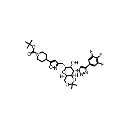 CC(C)(C)OC(=O)N1CCC(c2cc(C[C@H]3O[C@@H]4COC(C)(C)O[C@@H]4[C@H](n4cc(-c5cc(F)c(F)c(F)c5)nn4)[C@H]3O)no2)CC1